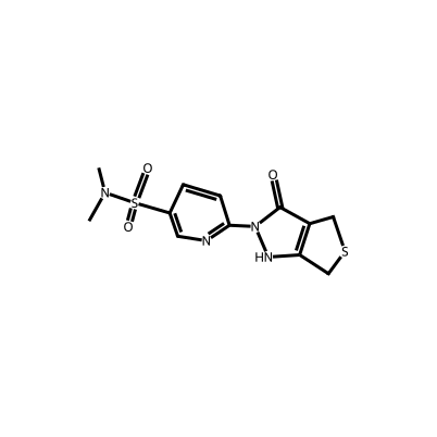 CN(C)S(=O)(=O)c1ccc(-n2[nH]c3c(c2=O)CSC3)nc1